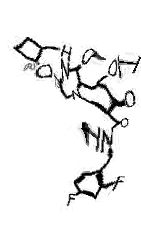 CC1CCC[C@H]1O[C@H]1Cn2cc(C(=O)NCc3ccc(F)cc3F)c(=O)c(O)c2C(=O)N1